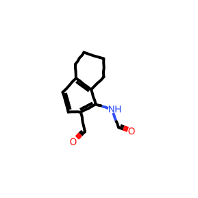 O=CNc1c(C=O)ccc2c1CCCC2